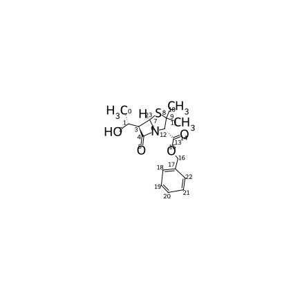 C[C@@H](O)[C@@H]1C(=O)N2[C@@H]1SC(C)(C)[C@@H]2C(=O)OCc1ccccc1